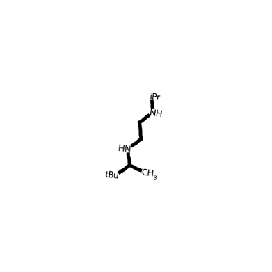 CC(C)NCCNC(C)C(C)(C)C